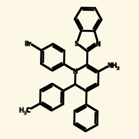 Cc1ccc(C2C(c3ccccc3)=CC(N)=C(c3nc4ccccc4s3)N2c2ccc(Br)cc2)cc1